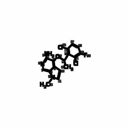 C[C@@H](Oc1c(N)ncc2c1ccn2C)c1c(Cl)ccc(F)c1Cl